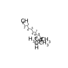 C#CCCCCCCCCC(C)C(C)(C)O